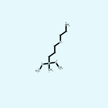 CO[Si](C)(CCCOCCN)OC